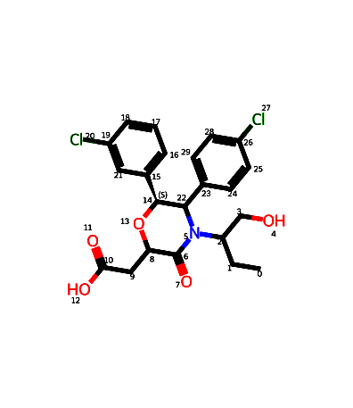 CCC(CO)N1C(=O)C(CC(=O)O)O[C@@H](c2cccc(Cl)c2)C1c1ccc(Cl)cc1